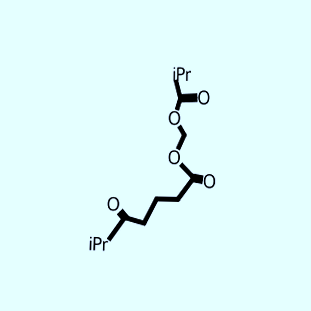 CC(C)C(=O)CCCC(=O)OCOC(=O)C(C)C